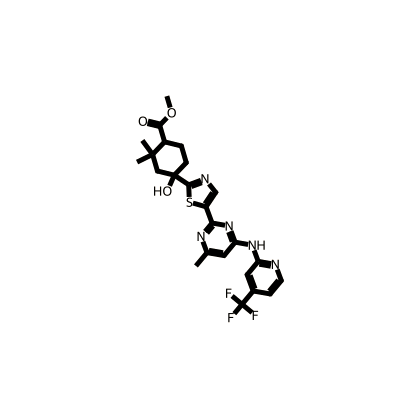 COC(=O)C1CCC(O)(c2ncc(-c3nc(C)cc(Nc4cc(C(F)(F)F)ccn4)n3)s2)CC1(C)C